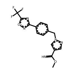 COC(=N)c1cnn(Cc2ccc(-c3noc(C(F)(F)F)n3)cc2)c1